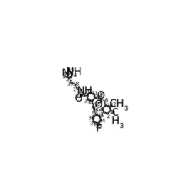 Cc1cccc(CS(=O)(=O)c2ccc(C(=O)NCCCc3cn[nH]c3)cc2C#Cc2ccc(F)cc2)c1C